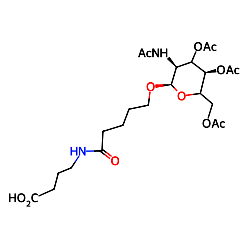 CC(=O)N[C@H]1C(OC(C)=O)[C@@H](OC(C)=O)C(COC(C)=O)O[C@H]1OCCCCC(=O)NCCCC(=O)O